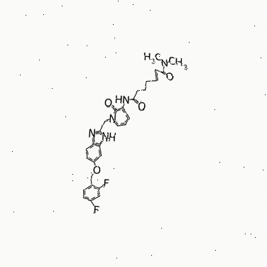 CN(C)C(=O)/C=C/CCCC(=O)Nc1cccn(Cc2nc3ccc(OCc4ccc(F)cc4F)cc3[nH]2)c1=O